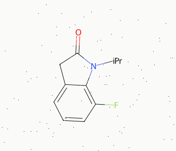 CC(C)N1C(=O)Cc2cccc(F)c21